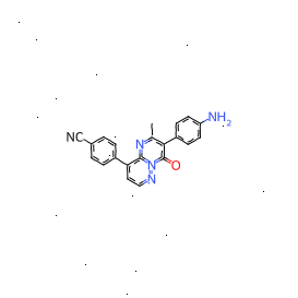 Cc1nc2c(-c3ccc(C#N)cc3)ccnn2c(=O)c1-c1ccc(N)cc1